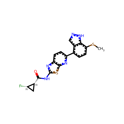 CSc1ccc(-c2ccc3nc(NC(=O)[C@@H]4C[C@@H]4F)sc3n2)c2cn[nH]c12